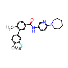 COc1ccc(-c2cc(C(=O)Nc3ccc(N4CCCCCC4)nc3)ccc2C)cc1F